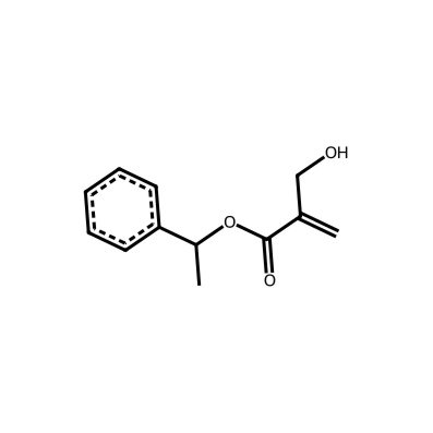 C=C(CO)C(=O)OC(C)c1ccccc1